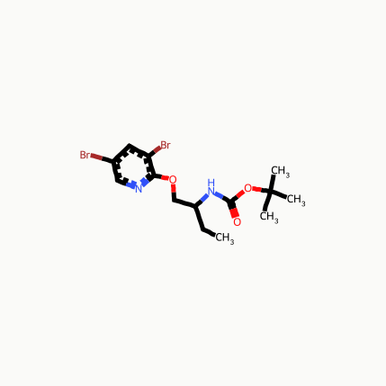 CCC(COc1ncc(Br)cc1Br)NC(=O)OC(C)(C)C